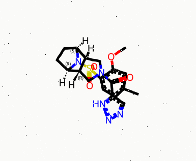 COc1cc(C)ccc1S(=O)(=O)N1[C@@H]2CC[C@H]1[C@@H]1CN(C(=O)c3cnn[nH]3)C[C@@H]12